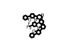 N#Cc1cccc(-c2c(-n3c4c(c5ccc6c7ccccc7oc6c53)C=CCC4)cc(C(F)(F)F)cc2-n2c3ccccc3c3ccc4c5ccccc5oc4c32)c1